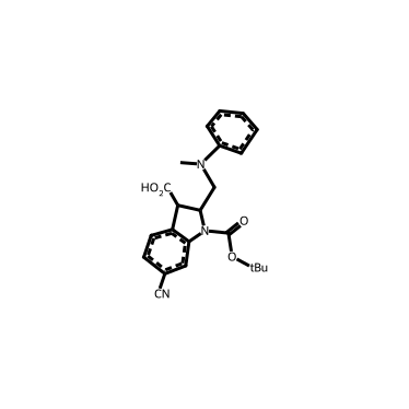 CN(CC1C(C(=O)O)c2ccc(C#N)cc2N1C(=O)OC(C)(C)C)c1ccccc1